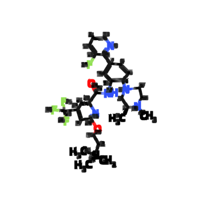 C[C@H]1CN(c2ccc(-c3ncccc3F)cc2NC(=O)c2cc(C(F)(F)F)cc(OCC[Si](C)(C)C)n2)CCN1C